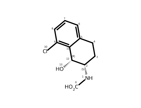 O=C(O)N[C@H]1CCc2cccc(Cl)c2[C@H]1O